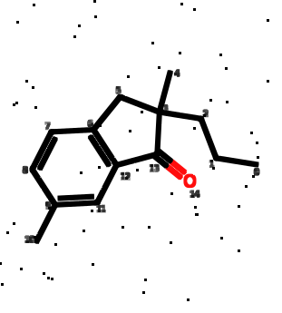 CCCC1(C)Cc2ccc(C)cc2C1=O